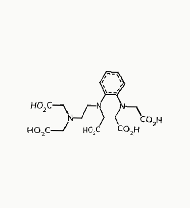 O=C(O)CN(CCN(CC(=O)O)c1ccccc1N(CC(=O)O)CC(=O)O)CC(=O)O